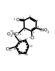 O=C1C=CC([N+](=O)[O-])=C(Cl)C1Cl.O=[N+]([O-])c1ccccc1Cl